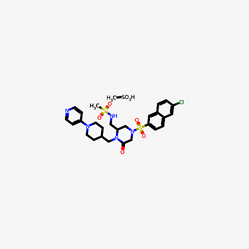 CS(=O)(=O)NCC1CN(S(=O)(=O)c2ccc3cc(Cl)ccc3c2)CC(=O)N1CC1CCN(c2ccncc2)CC1.CS(=O)(=O)O